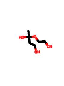 CC(O)(CCO)OCCO